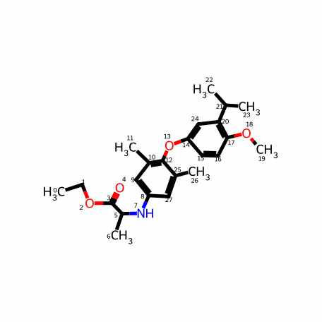 CCOC(=O)C(C)Nc1cc(C)c(Oc2ccc(OC)c(C(C)C)c2)c(C)c1